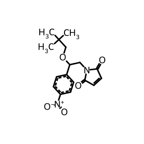 CC(C)(C)COC(CN1C(=O)C=CC1=O)c1ccc([N+](=O)[O-])cc1